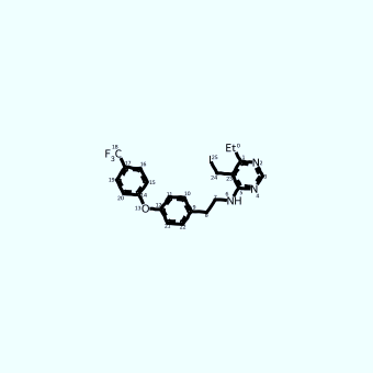 CCc1ncnc(NCCc2ccc(Oc3ccc(C(F)(F)F)cc3)cc2)c1CI